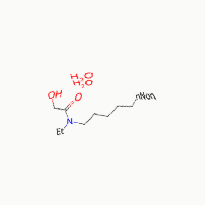 CCCCCCCCCCCCCCN(CC)C(=O)CO.O.O